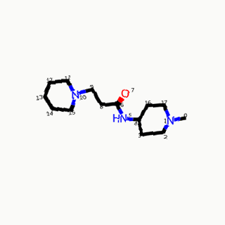 CN1CCC(NC(=O)CCN2CCCCC2)CC1